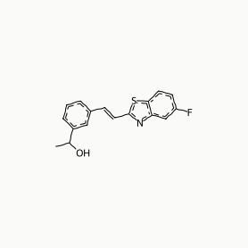 CC(O)c1cccc(C=Cc2nc3cc(F)ccc3s2)c1